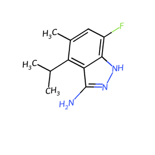 Cc1cc(F)c2[nH]nc(N)c2c1C(C)C